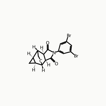 O=C1[C@@H]2[C@@H]3CC[C@@H]([C@H]4C[C@H]43)[C@@H]2C(=O)N1c1cc(Br)cc(Br)c1